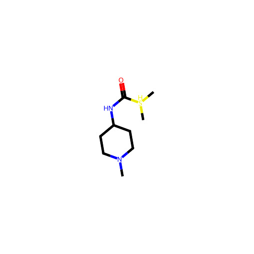 CN1CCC(NC(=O)[SH](C)C)CC1